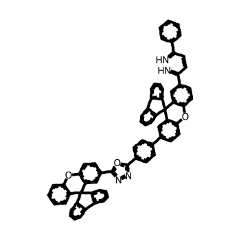 N=C(/C=C\C(=N)c1ccc2c(c1)C1(c3cc(-c4ccc(-c5nnc(-c6ccc7c(c6)C6(c8ccccc8O7)c7ccccc7-c7ccccc76)o5)cc4)ccc3O2)c2ccccc2-c2ccccc21)c1ccccc1